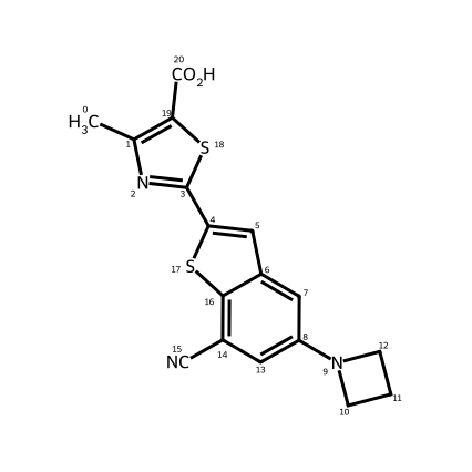 Cc1nc(-c2cc3cc(N4CCC4)cc(C#N)c3s2)sc1C(=O)O